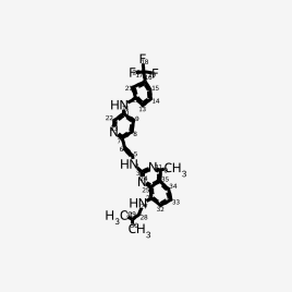 Cc1nc(N/C=C/c2ccc(Nc3cccc(C(F)(F)F)c3)cn2)nc2c(NCC(C)C)cccc12